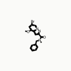 COc1cc(Br)cn2nc(C(=O)N(C)Cc3ccccc3)cc12